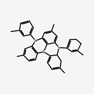 CC1=CC(N2c3cc(C)cc4c3B(C3=CC=C(C)CC32)c2ccc(C)cc2N4c2cccc(C)c2)=CCC1